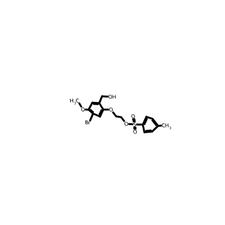 COc1cc(CO)c(OCCOS(=O)(=O)c2ccc(C)cc2)cc1Br